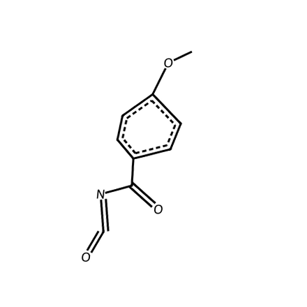 COc1ccc(C(=O)N=C=O)cc1